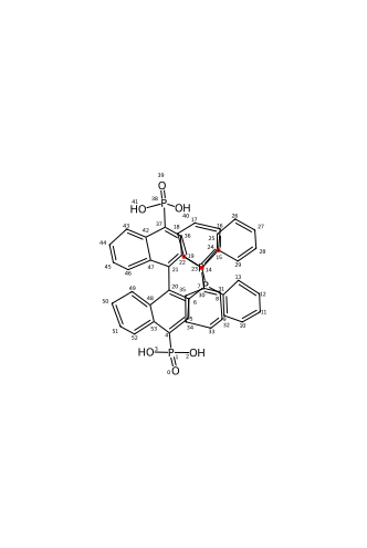 O=P(O)(O)c1cc(P(c2ccccc2)c2ccccc2)c(-c2c(P(c3ccccc3)c3ccccc3)cc(P(=O)(O)O)c3ccccc23)c2ccccc12